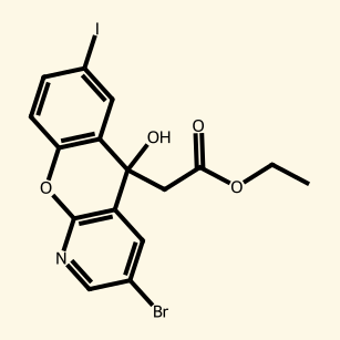 CCOC(=O)CC1(O)c2cc(I)ccc2Oc2ncc(Br)cc21